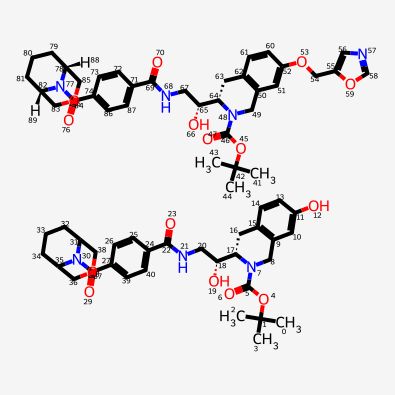 CC(C)(C)OC(=O)N1Cc2cc(O)ccc2C[C@H]1[C@H](O)CNC(=O)c1ccc(C(=O)N2C3CCCC2COC3)cc1.CC(C)(C)OC(=O)N1Cc2cc(OCc3cnco3)ccc2C[C@H]1[C@H](O)CNC(=O)c1ccc(C(=O)N2[C@@H]3CCC[C@H]2COC3)cc1